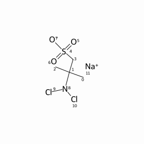 CC(C)(CS(=O)(=O)[O-])N(Cl)Cl.[Na+]